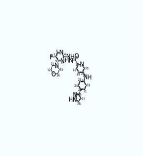 O=C(NNc1ncc(F)c(N2CCOCC2)n1)c1ccc(Nc2ccc(-c3cc[nH]n3)cc2)cn1